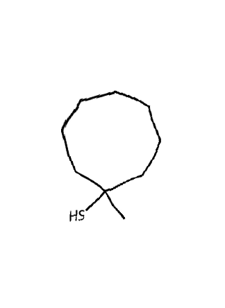 CC1(S)CCCCCCC1